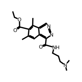 CCOC(=O)c1c(C)cc2c(C(=O)NCCCN(C)C)nncc2c1C